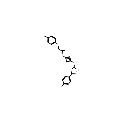 O=C(COc1ccc(Cl)cc1)NC12CC(NC3NNC(c4ccc(Cl)cc4)O3)(C1)C2